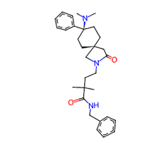 CN(C)[C@]1(c2ccccc2)CC[C@@]2(CC1)CC(=O)N(CCC(C)(C)C(=O)NCc1ccccc1)C2